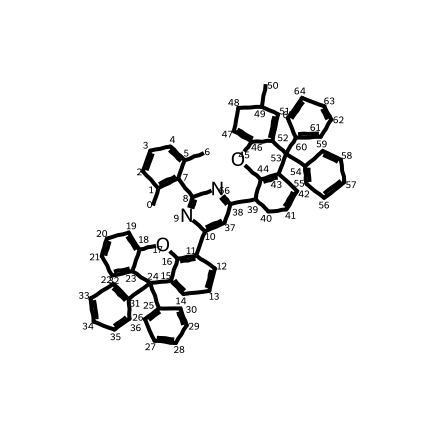 Cc1cccc(C)c1-c1nc(-c2cccc3c2Oc2ccccc2C3(c2ccccc2)c2ccccc2)cc(C2CC=CC3=C2OC2=CCC(C)C=C2C3(c2ccccc2)c2ccccc2)n1